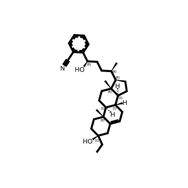 CC[C@]1(O)CC[C@@]2(C)C(=CC[C@H]3[C@@H]4CC[C@H]([C@H](C)CC[C@@H](O)c5ccccc5C#N)[C@@]4(C)CC[C@@H]32)C1